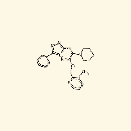 Cc1cccnc1COc1nn2c(-c3ccccc3)nnc2cc1N1CCCCC1